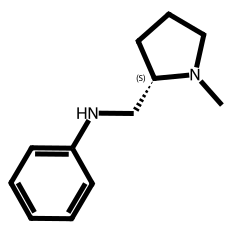 CN1CCC[C@H]1CNc1ccccc1